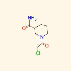 NC(=O)C1CCCN(C(=O)CCl)C1